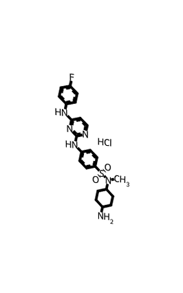 CN(C1CCC(N)CC1)S(=O)(=O)c1ccc(Nc2nccc(Nc3ccc(F)cc3)n2)cc1.Cl